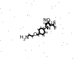 NCCOCC1CCC(n2cc([N+](=O)[O-])c(C(F)F)n2)CC1